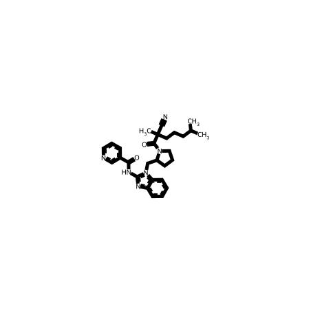 CC(C)CCCC(C)(C#N)C(=O)N1CCCC1Cn1c(NC(=O)c2cccnc2)nc2ccccc21